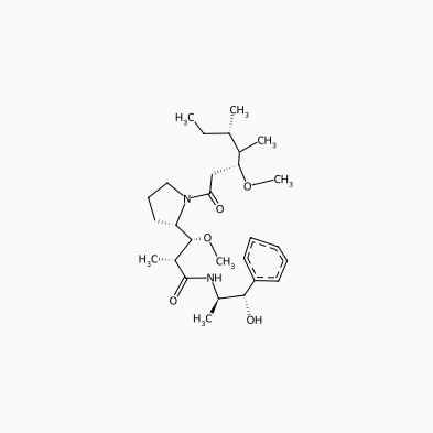 CC[C@H](C)C(C)[C@@H](CC(=O)N1CCC[C@H]1[C@H](OC)[C@@H](C)C(=O)N[C@H](C)[C@@H](O)c1ccccc1)OC